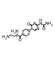 NCC[C@H](N)C(=O)N1CCN(C2C=NC(NC(N)=O)=NC2=O)CC1